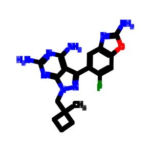 CC1(Cn2nc(-c3cc4nc(N)oc4cc3F)c3c(N)nc(N)nc32)CCC1